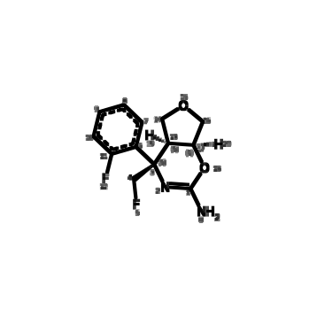 NC1=N[C@](CF)(c2ccccc2F)[C@H]2COC[C@H]2O1